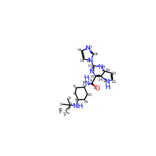 CC(C)(NC1CCC(NC(=O)c2nc(-n3ccnc3)nc3cc[nH]c23)CC1)C(F)(F)F